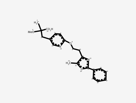 COC(C)(Cc1ccc(OCCc2nc(-c3ccccc3)oc2C)nc1)C(=O)O